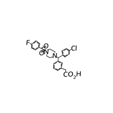 O=C(O)Cc1cccc(C(c2ccc(Cl)cc2)N2CCN(S(=O)(=O)c3ccc(F)cc3)CC2)c1